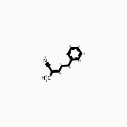 C/C(C#N)=C/CCc1ccccc1